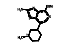 COc1ncc(C2=C[C@H](C)CCC2)c2sc(N)nc12